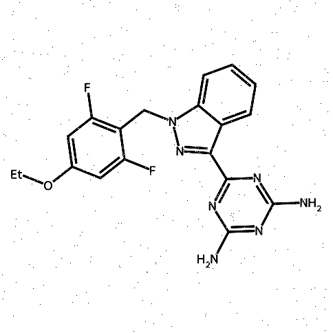 CCOc1cc(F)c(Cn2nc(-c3nc(N)nc(N)n3)c3ccccc32)c(F)c1